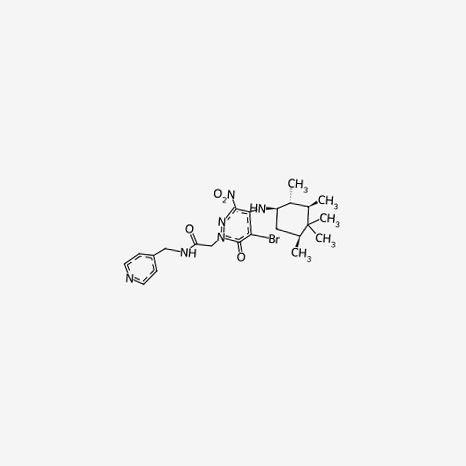 C[C@@H]1[C@@H](C)C(C)(C)[C@@H](C)C[C@H]1Nc1c([N+](=O)[O-])nn(CC(=O)NCc2ccncc2)c(=O)c1Br